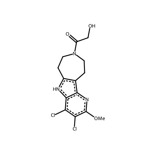 COc1nc2c3c([nH]c2c(Cl)c1Cl)CCN(C(=O)CO)CC3